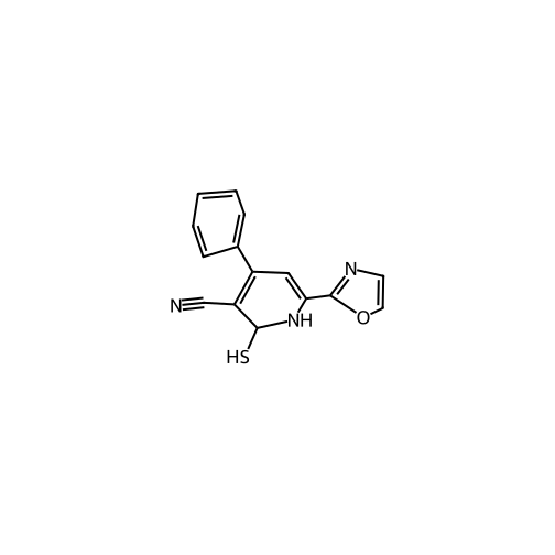 N#CC1=C(c2ccccc2)C=C(c2ncco2)NC1S